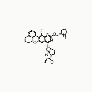 C=CC(=O)N1CCC2[C@H]1CN2c1nc(OC[C@@H]2CCCN2C)nc2c(F)c(-c3cccc4c3CCCC4)c(Cl)cc12